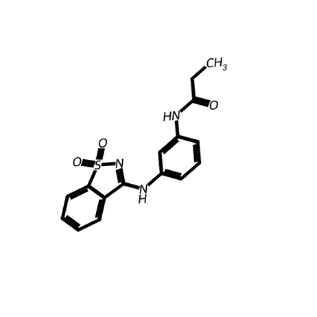 CCC(=O)Nc1cccc(NC2=NS(=O)(=O)c3ccccc32)c1